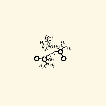 CC(=O)[O-].CC(=O)[O-].CC(C)c1cc(-c2ccccc2)cc(C=NCN=Cc2cc(-c3ccccc3)cc(C(C)C)c2O)c1O.[Co+2]